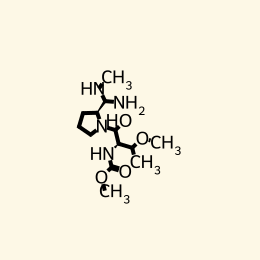 CNC(N)[C@@H]1CCCN1C(O)[C@@H](NC(=O)OC)C(C)OC